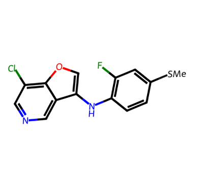 CSc1ccc(Nc2coc3c(Cl)cncc23)c(F)c1